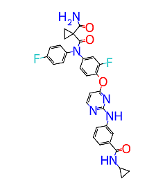 NC(=O)C1(C(=O)N(c2ccc(F)cc2)c2ccc(Oc3ccnc(Nc4cccc(C(=O)NC5CC5)c4)n3)c(F)c2)CC1